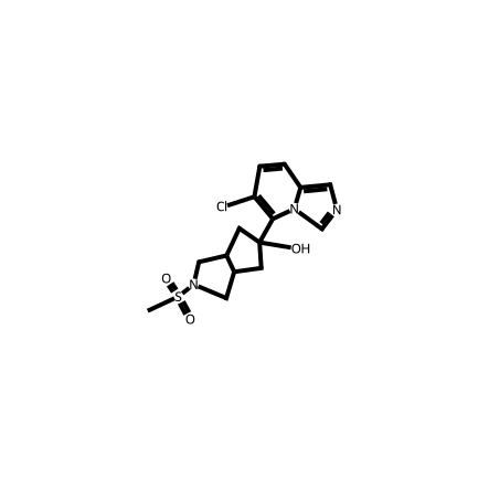 CS(=O)(=O)N1CC2CC(O)(c3c(Cl)ccc4cncn34)CC2C1